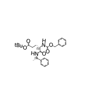 C[C@H](NC(=O)[C@H](CCC(=O)OC(C)(C)C)NC(=O)OCc1ccccc1)c1ccccc1